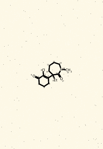 CCC1(C2=C(Cl)C(=O)CCC2)CCCCN(C)C1=O